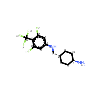 N[C@H]1CC[C@H](CNc2cc(F)c(C(F)(F)F)c(F)c2)CC1